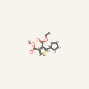 CCOC(=O)c1c(C(=O)OC)csc1C1CCCC1